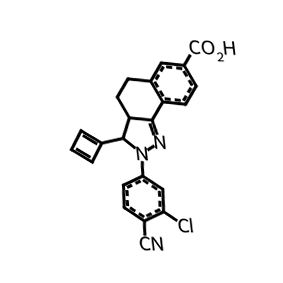 N#Cc1ccc(N2N=C3c4ccc(C(=O)O)cc4CCC3C2C2=CC=C2)cc1Cl